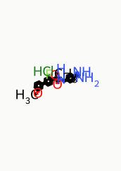 COc1cccc(-c2ccc([C@H](OC)C(=O)NCc3ccc(C(=N)N)cc3)c(F)c2)c1.Cl